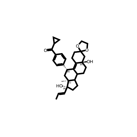 CC=C[C@]1(O)CCC2C3CC[C@@]4(O)CC5(CCC4=C3[C@@H](c3ccc(C(=O)C4CC4)cc3)C[C@@]21C)OCCO5